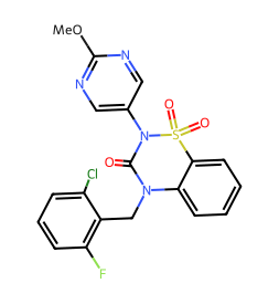 COc1ncc(N2C(=O)N(Cc3c(F)cccc3Cl)c3ccccc3S2(=O)=O)cn1